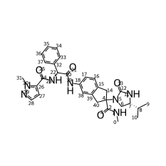 CNC(=O)C1(N2C[C@@H](C(C)C)NC2=O)Cc2ccc(NC(=O)[C@@H](NC(=O)c3ccnn3C)c3ccccc3)cc2C1